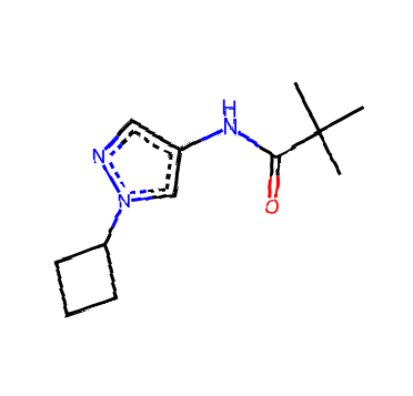 CC(C)(C)C(=O)Nc1cnn(C2CCC2)c1